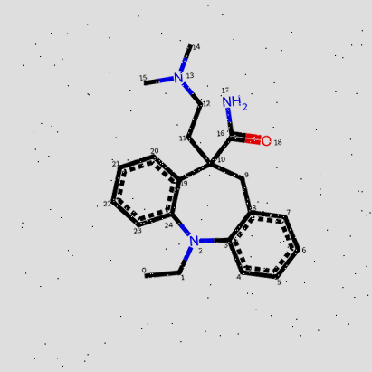 CCN1c2ccccc2CC(CCN(C)C)(C(N)=O)c2ccccc21